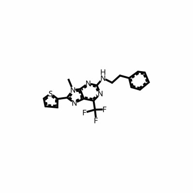 Cn1c(-c2cccs2)nc2c(C(F)(F)F)nc(NCCc3ccccc3)nc21